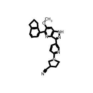 COc1cc2[nH]nc(-c3ccc(N4CCC(C#N)C4)nc3)c2nc1-c1cccc2c1CCC2